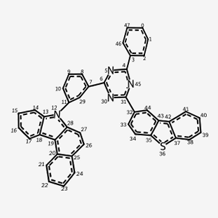 c1ccc(-c2nc(-c3cccc(-n4c5ccccc5c5c6ccccc6ccc54)c3)nc(-c3ccc4sc5ccccc5c4c3)n2)cc1